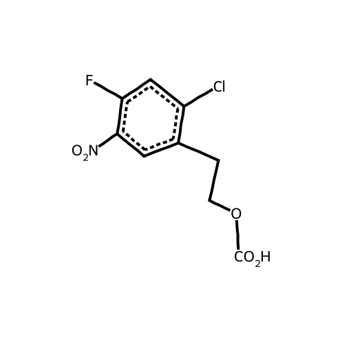 O=C(O)OCCc1cc([N+](=O)[O-])c(F)cc1Cl